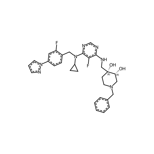 O[C@@H]1CN(Cc2ccccc2)CC[C@@]1(O)CNc1ncnc(N(Cc2ccc(-n3cccn3)cc2F)C2CC2)c1F